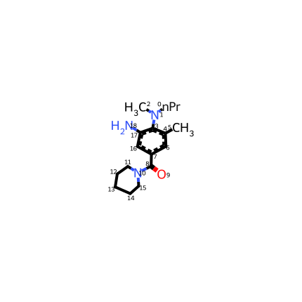 CCCN(C)c1c(C)cc(C(=O)N2CCCCC2)cc1N